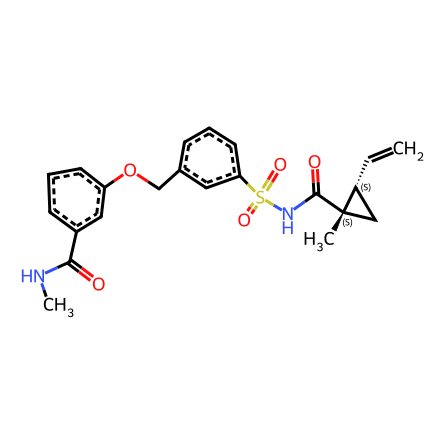 C=C[C@@H]1C[C@]1(C)C(=O)NS(=O)(=O)c1cccc(COc2cccc(C(=O)NC)c2)c1